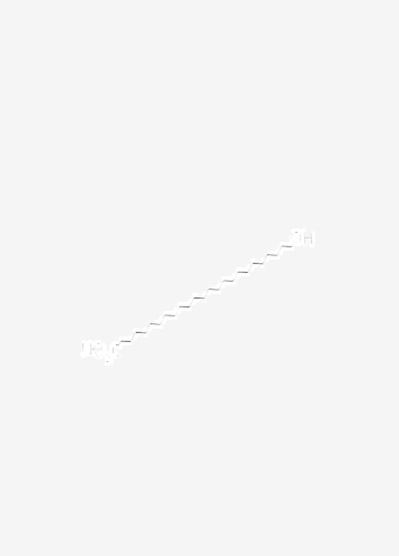 O=C(O)CCCCCCCCCCCCCCCCCCCCCCCCO